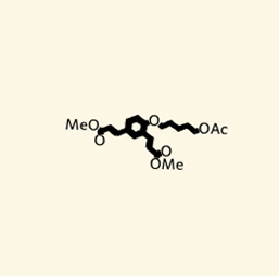 COC(=O)C=Cc1ccc(OCCCCCOC(C)=O)c(C=CC(=O)OC)c1